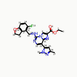 CCOC(=O)c1cn2c(NCc3c(F)ccc4c3CCO4)ncc(-c3cc(C)nn3C)c2n1